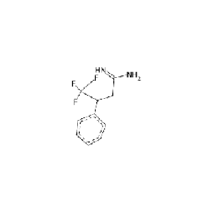 N=C(N)CC(c1ccccc1)C(F)(F)F